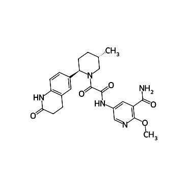 COc1ncc(NC(=O)C(=O)N2C[C@@H](C)CC[C@@H]2c2ccc3c(c2)CCC(=O)N3)cc1C(N)=O